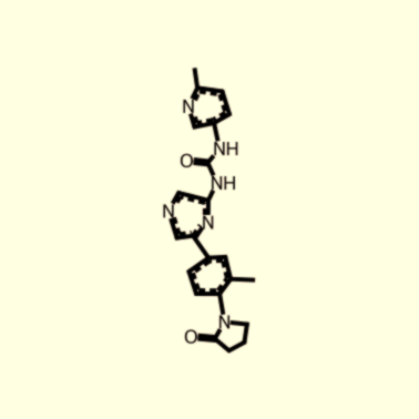 Cc1ccc(NC(=O)Nc2cncc(-c3ccc(N4CCCC4=O)c(C)c3)n2)cn1